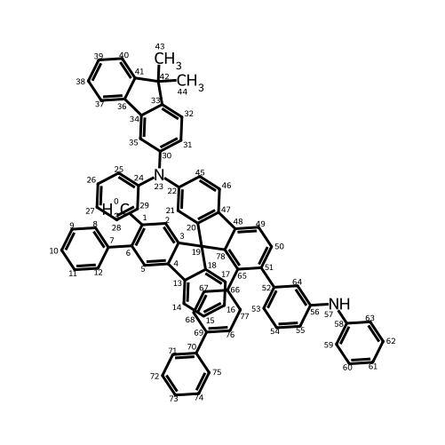 Cc1cc2c(cc1-c1ccccc1)-c1ccccc1C21c2cc(N(c3ccccc3)c3ccc4c(c3)-c3ccccc3C4(C)C)ccc2-c2ccc(-c3cccc(Nc4ccccc4)c3)c(C3C=CC(c4ccccc4)=CC3)c21